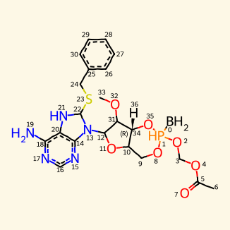 B[PH]1(OCOC(C)=O)OCC2OC(N3c4ncnc(N)c4NC3SCc3ccccc3)C(OC)[C@@H]2O1